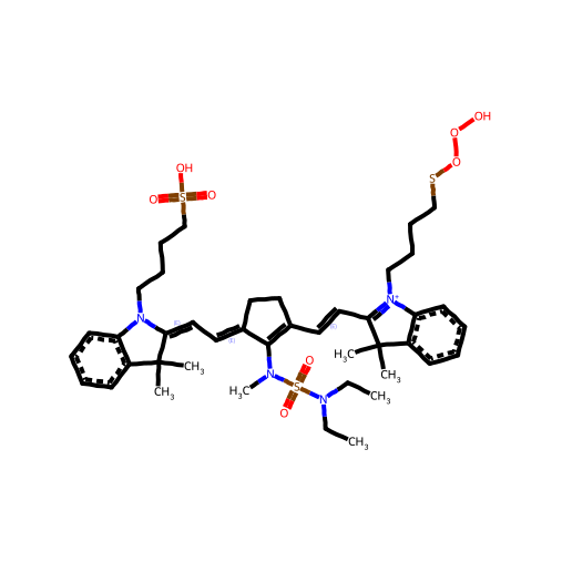 CCN(CC)S(=O)(=O)N(C)C1=C(/C=C/C2=[N+](CCCCSOOO)c3ccccc3C2(C)C)CC/C1=C\C=C1\N(CCCCS(=O)(=O)O)c2ccccc2C1(C)C